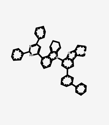 C1=C(c2cccc3c2c2c(n3-c3cc(-c4cccc(-c5ccccc5)c4)cc4c3oc3ccccc34)=CCCC=2)NC(c2ccccc2)N=C1c1ccccc1